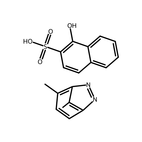 Cc1ccc2c(C)c1N=N2.O=S(=O)(O)c1ccc2ccccc2c1O